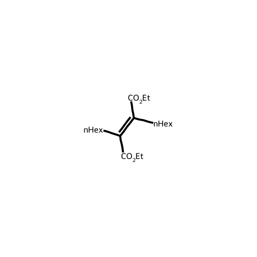 CCCCCCC(C(=O)OCC)=C(CCCCCC)C(=O)OCC